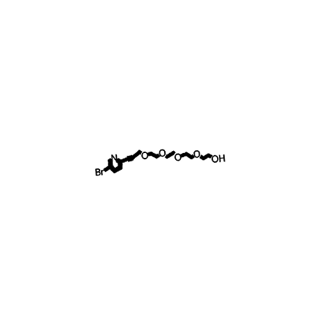 OCCOCCOCCOCCOCC#Cc1ccc(Br)cn1